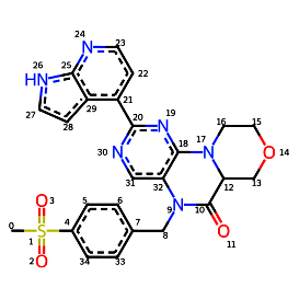 CS(=O)(=O)c1ccc(CN2C(=O)C3COCCN3c3nc(-c4ccnc5[nH]ccc45)ncc32)cc1